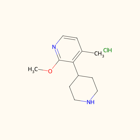 COc1nccc(C)c1C1CCNCC1.Cl